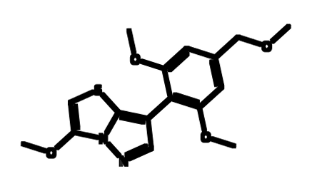 COCc1cc(OC)c(-c2cnn3c(OC)csc23)c(OC)c1